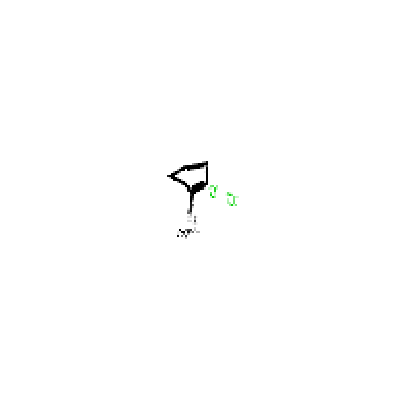 CCC1=CC=CC1.[Cl-].[Cl-].[Hf+2]